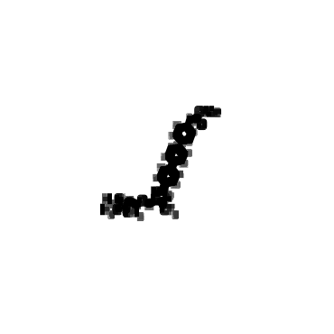 COC(=O)C[C@H]1CC[C@H](c2ccc(-c3ccc(-c4nc(C(F)(F)F)n(COCC[Si](C)(C)C)n4)cc3)cc2)CC1